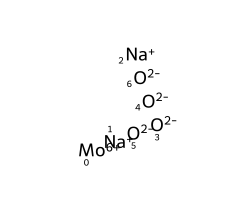 [Mo+6].[Na+].[Na+].[O-2].[O-2].[O-2].[O-2]